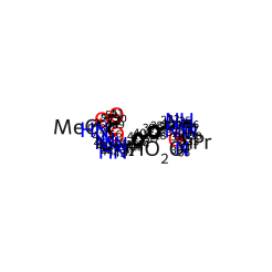 COC(=O)N[C@H](C(=O)N1[C@H](c2nc(-c3ccc(-c4ccc(-c5c[nH]c([C@@H]6CCN(C)N6C(=O)[C@H](C(C)C)N(C)C(=O)O)n5)cc4)cc3)c[nH]2)CCN1C)C1CCOCC1